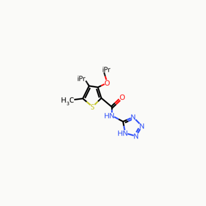 Cc1sc(C(=O)Nc2nnn[nH]2)c(OC(C)C)c1C(C)C